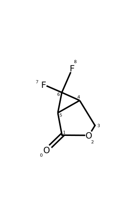 O=C1OCC2C1C2(F)F